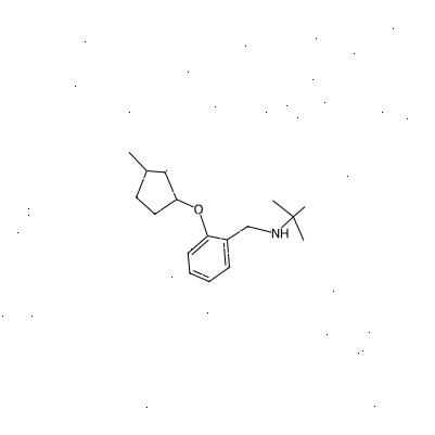 CC1CCC(Oc2ccccc2CNC(C)(C)C)C1